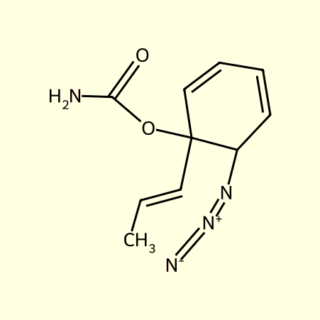 CC=CC1(OC(N)=O)C=CC=CC1N=[N+]=[N-]